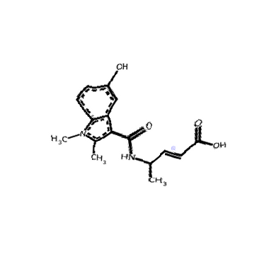 Cc1c(C(=O)NC(C)/C=C/C(=O)O)c2cc(O)ccc2n1C